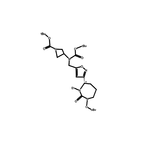 CCCCON1CCC[C@@H](c2cc(CN(C(=O)OC(C)(C)C)C3CN(C(=O)OC(C)(C)C)C3)on2)N(CC)C1=O